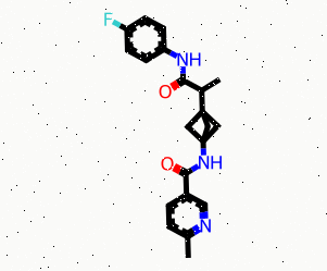 Cc1ccc(C(=O)NC23CC(C(C)C(=O)Nc4ccc(F)cc4)(C2)C3)cn1